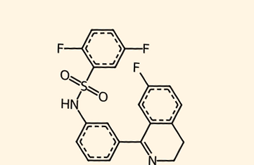 O=S(=O)(Nc1cccc(C2=NCCc3ccc(F)cc32)c1)c1cc(F)ccc1F